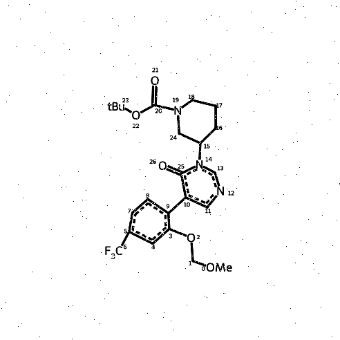 COCOc1cc(C(F)(F)F)ccc1-c1cncn(C2CCCN(C(=O)OC(C)(C)C)C2)c1=O